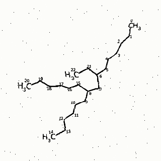 CCCCCCC([CH]C(CCCCCC)CCCCCC)CC